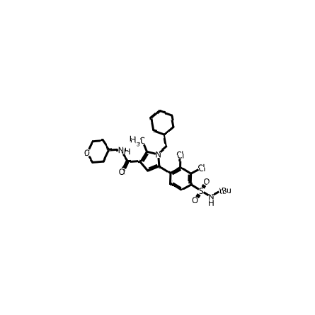 Cc1c(C(=O)NC2CCOCC2)cc(-c2ccc(S(=O)(=O)NC(C)(C)C)c(Cl)c2Cl)n1CC1CCCCC1